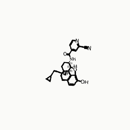 N#Cc1cc(C(=O)N[C@H]2CCC3(O)C4Cc5ccc(O)c6c5[C@]3(CCN4CC3CC3)[C@@H]2O6)ccn1